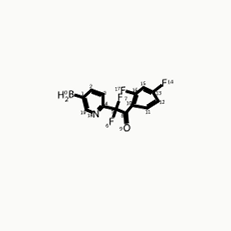 Bc1ccc(C(F)(F)C(=O)c2ccc(F)cc2F)nc1